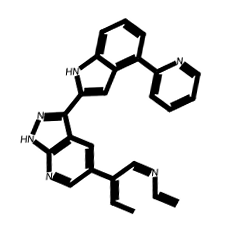 C=C/N=C\C(=C/C)c1cnc2[nH]nc(-c3cc4c(-c5ccccn5)cccc4[nH]3)c2c1